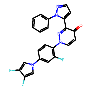 O=c1ccn(-c2ccc(-n3cc(F)c(F)c3)cc2F)nc1-c1ccnn1-c1ccccc1